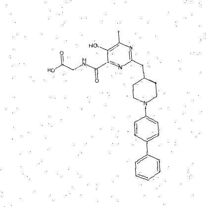 Cc1nc(CC2CCN(c3ccc(-c4ccccc4)cc3)CC2)nc(C(=O)NCC(=O)O)c1O